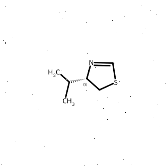 CC(C)[C@H]1CS[C]=N1